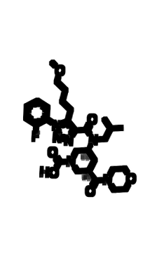 COCCCCc1c(C(=O)N(CC(C)C)[C@H]2C[C@@H](C(=O)N3CCOCC3)CN(C(=O)O)C2)nnn1-c1ccccc1F